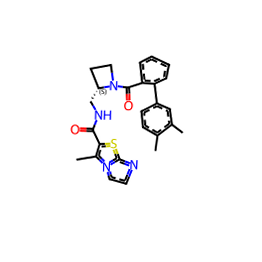 Cc1ccc(-c2ccccc2C(=O)N2CC[C@H]2CNC(=O)c2sc3nccn3c2C)cc1C